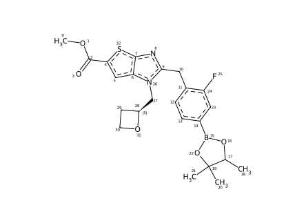 COC(=O)c1cc2c(nc(Cc3ccc(B4OC(C)C(C)(C)O4)cc3F)n2C[C@@H]2CCO2)s1